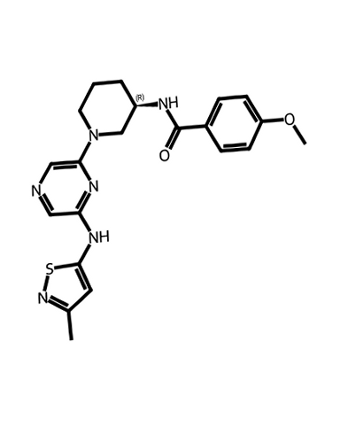 COc1ccc(C(=O)N[C@@H]2CCCN(c3cncc(Nc4cc(C)ns4)n3)C2)cc1